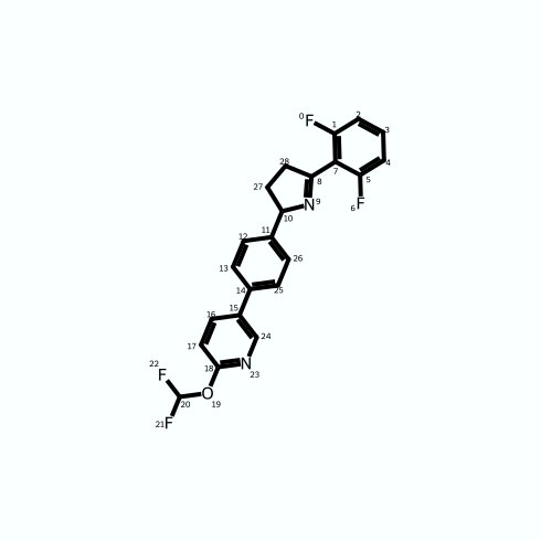 Fc1cccc(F)c1C1=NC(c2ccc(-c3ccc(OC(F)F)nc3)cc2)CC1